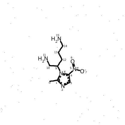 Cc1ncc([N+](=O)[O-])n1C(CN)CCCN